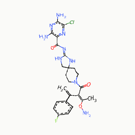 C=C(/C(C(=O)N1CCC2(CC1)CN/C(=N\C(=O)c1nc(Cl)c(N)nc1N)N2)=C(/C)ON)c1ccc(F)cc1